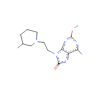 CCCCOc1nc(N)c2[nH]c(=O)n(CCN3CCCC(C(=O)O)C3)c2n1